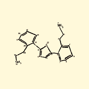 NCCc1ccccc1-c1ccc(-c2ccccc2CCN)s1